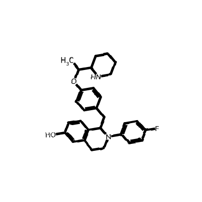 CC(Oc1ccc(CC2c3ccc(O)cc3CCN2c2ccc(F)cc2)cc1)C1CCCCN1